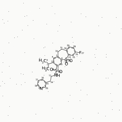 CC(C)c1cc2c(cc1S(=O)(=O)NCCc1cccnc1)S(=O)(=O)c1cc(F)ccc1CC2